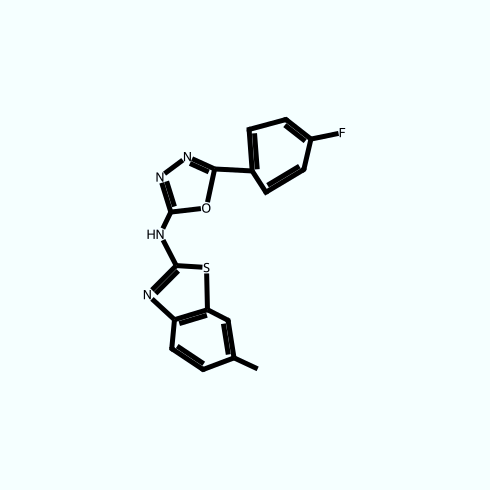 Cc1ccc2nc(Nc3nnc(-c4ccc(F)cc4)o3)sc2c1